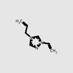 C=CCn1cn[n+](C=C)c1